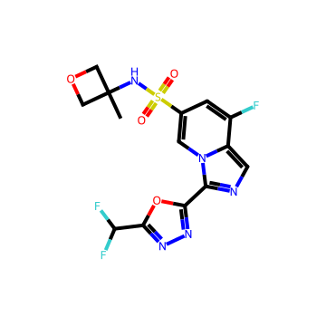 CC1(NS(=O)(=O)c2cc(F)c3cnc(-c4nnc(C(F)F)o4)n3c2)COC1